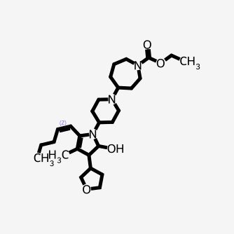 CCC/C=C\C1=C(C)C(C2CCOC2)C(O)N1C1CCN(C2CCCN(C(=O)OCC)CC2)CC1